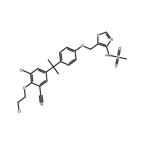 CC(C)(c1ccc(OCc2scnc2NS(C)(=O)=O)cc1)c1cc(Cl)c(OCCCl)c(C#N)c1